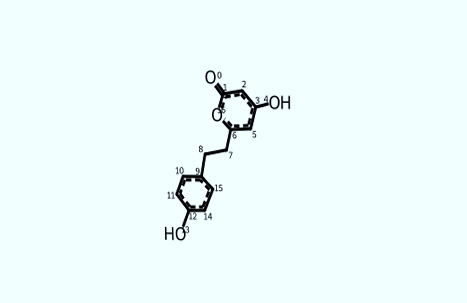 O=c1cc(O)cc(CCc2ccc(O)cc2)o1